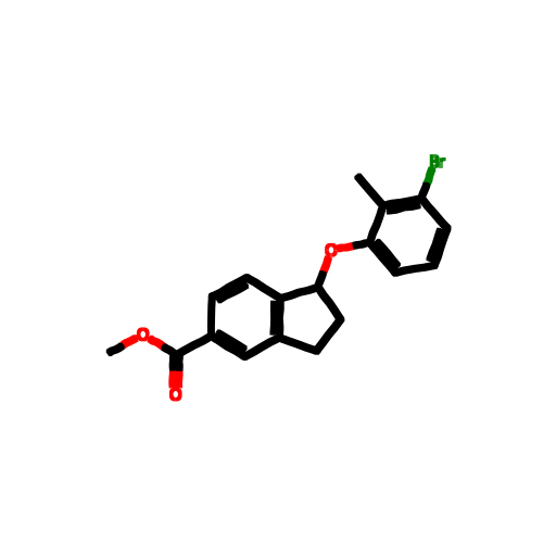 COC(=O)c1ccc2c(c1)CCC2Oc1cccc(Br)c1C